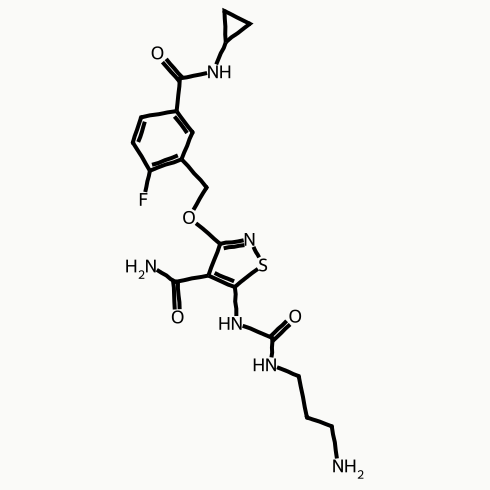 NCCCNC(=O)Nc1snc(OCc2cc(C(=O)NC3CC3)ccc2F)c1C(N)=O